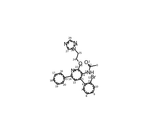 CC(=O)Nc1c(-c2ccccc2Br)cc(-c2ccccc2)nc1OCCn1cncn1